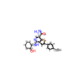 CC(C)(C)c1ccc(-c2cc3c(N[C@H]4CCCC[C@@H]4O)ncc(C(N)=O)c3s2)cc1